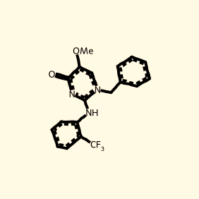 COc1cn(Cc2ccccc2)c(Nc2ccccc2C(F)(F)F)nc1=O